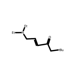 CCN(CC)C/C=C/C(=O)CC(C)(C)C